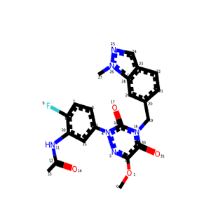 COc1nn(-c2ccc(F)c(NC(C)=O)c2)c(=O)n(Cc2ccc3cnn(C)c3c2)c1=O